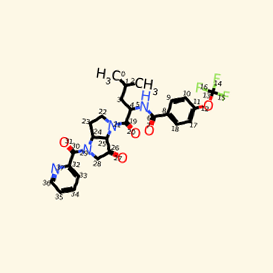 CC(C)CC(NC(=O)c1ccc(OC(F)(F)F)cc1)C(=O)N1CCC2C1C(=O)CN2C(=O)c1ccccn1